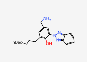 CCCCCCCCCCCCCc1cc(CN)cc(-n2nc3ccccc3n2)c1O